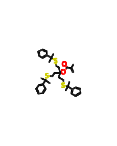 C=C(C)C(=O)OC(CCSC(C)(C)c1ccccc1)(CCSC(C)(C)c1ccccc1)CCSC(C)(C)c1ccccc1